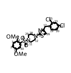 COc1ccc(OC)c(S(=O)(=O)N2CCN(c3nc(Cc4ccc(Cl)cc4Cl)cs3)CC2)c1